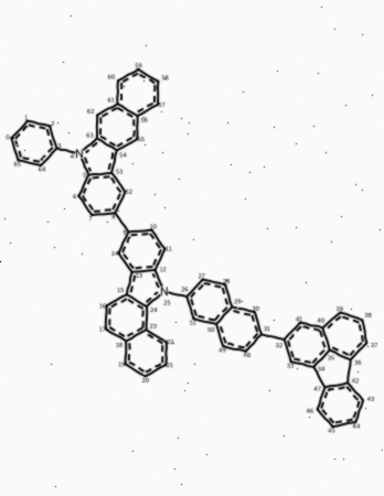 c1ccc(-n2c3ccc(-c4ccc5c(c4)c4ccc6ccccc6c4n5-c4ccc5cc(-c6cc7c8c(cccc8c6)-c6ccccc6-7)ccc5c4)cc3c3cc4ccccc4cc32)cc1